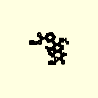 CN(C(=O)OC(C)(C)C)c1nc(N)c(-c2cccc(C(=O)OC(C)(C)C)c2)c2c1ncn2C